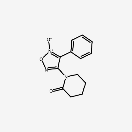 O=C1CCCCN1c1no[n+]([O-])c1-c1ccccc1